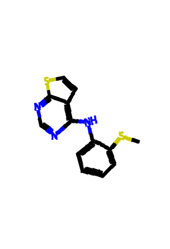 CSc1ccccc1Nc1ncnc2sccc12